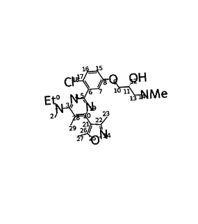 CCN(C)c1nc(-c2cc(OC[C@H](O)CNC)ccc2Cl)nc(-c2c(C)noc2C)c1C